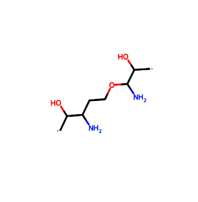 [CH2]C(O)C(N)CCOC(N)C([CH2])O